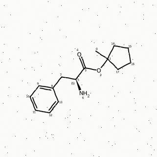 CC1(OC(=O)[C@@H](N)Cc2ccccc2)CCCC1